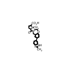 Cc1nc2ccc(-c3ccc4c(c3)CN(C(=O)C3CC=C(C(=O)O)N3C)CCO4)cc2[nH]1